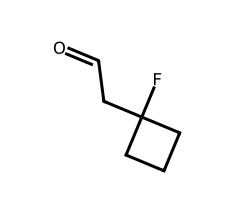 O=CCC1(F)CCC1